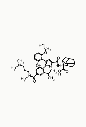 COc1cccc(O)c1-c1cc(C(=O)NC2(C(=O)O)C3CC4CC(C3)CC2C4)nn1-c1ccc(C(=O)N(C)CCCN(C)C)cc1C(C)C.Cl